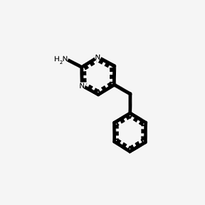 Nc1ncc(Cc2ccccc2)cn1